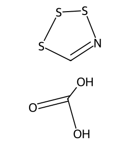 C1=NSSS1.O=C(O)O